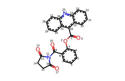 O=C(Oc1ccccc1C(=O)N1C(=O)CCC1=O)c1c2ccccc2nc2ccccc12